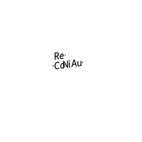 [Au].[Co].[Ni].[Re]